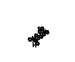 C1=CC2SC3=C(C4=NC(c5ccccc5)NC(c5ccccc5)=N4)CCC=C3C2C(c2ccc3sc4cccc(-n5c6ccccc6c6ccccc65)c4c3c2)=C1